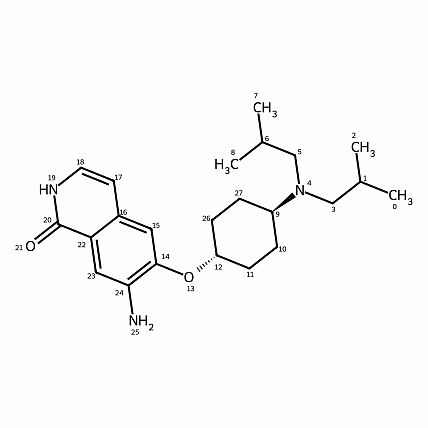 CC(C)CN(CC(C)C)[C@H]1CC[C@H](Oc2cc3cc[nH]c(=O)c3cc2N)CC1